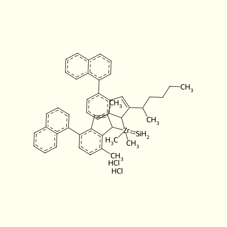 CCCCC(C)C1=Cc2c(-c3cccc4ccccc34)cccc2[CH]1[Zr]([CH3])([CH3])(=[SiH2])[CH]1C(C)=Cc2c(-c3cccc4ccccc34)ccc(C)c21.Cl.Cl